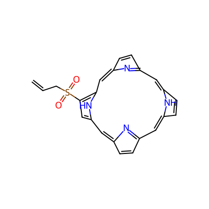 C=CCS(=O)(=O)c1cc2cc3nc(cc4ccc(cc5nc(cc1[nH]2)C=C5)[nH]4)C=C3